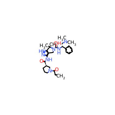 C=CC(=O)N1CCC[C@@H](C(=O)Nc2n[nH]c3c2CN(C(O)N[C@H](CN(C)C)c2ccccc2)C3(C)C)C1